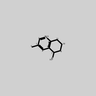 Cc1cnc2c(c1)C(F)CCC2